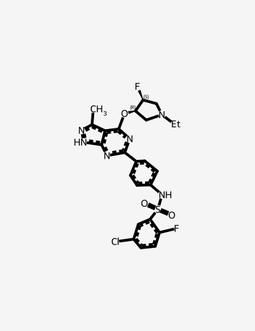 CCN1C[C@H](F)[C@H](Oc2nc(-c3ccc(NS(=O)(=O)c4cc(Cl)ccc4F)cc3)nc3[nH]nc(C)c23)C1